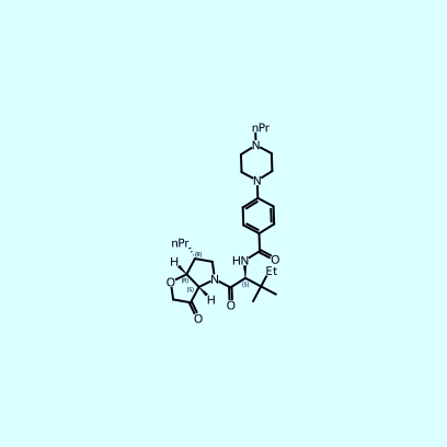 CCC[C@@H]1CN(C(=O)[C@@H](NC(=O)c2ccc(N3CCN(CCC)CC3)cc2)C(C)(C)CC)[C@@H]2C(=O)CO[C@H]12